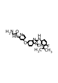 CC(C)c1cc(Nc2nc3cc(Oc4ccnc(NC(=O)CN)c4)ccc3n2C)ccc1F